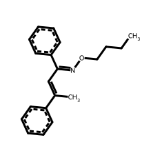 CCCCON=C(C=C(C)c1ccccc1)c1ccccc1